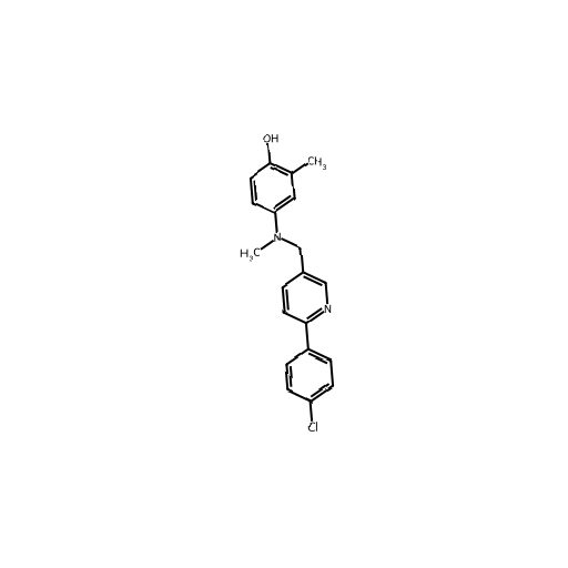 Cc1cc(N(C)Cc2ccc(-c3ccc(Cl)cc3)nc2)ccc1O